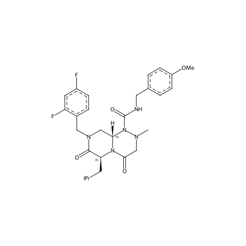 COc1ccc(CNC(=O)N2[C@H]3CN(Cc4ccc(F)cc4F)C(=O)[C@H](CC(C)C)N3C(=O)CN2C)cc1